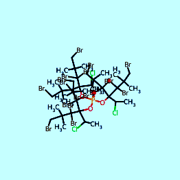 CC(Cl)C(OP(=O)(OC(C(C)Cl)(C(Br)(Br)C(C)(C)CBr)C(Br)(Br)C(C)(C)CBr)OC(C(C)Cl)(C(Br)(Br)C(C)(C)CBr)C(Br)(Br)C(C)(C)CBr)(C(Br)(Br)C(C)(C)CBr)C(Br)(Br)C(C)(C)CBr